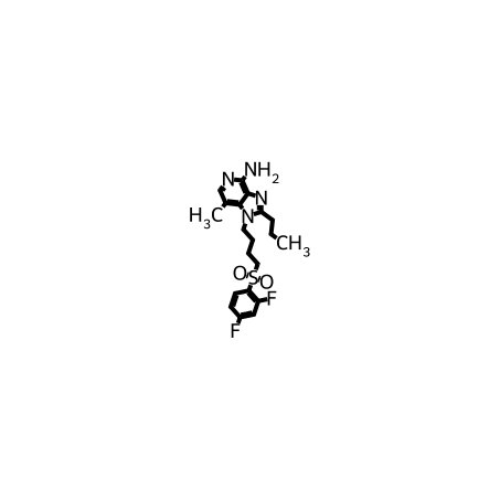 CCCc1nc2c(N)ncc(C)c2n1CCCCS(=O)(=O)c1ccc(F)cc1F